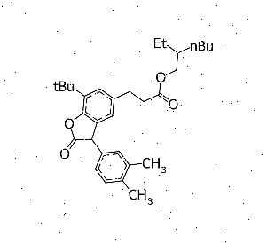 CCCCC(CC)COC(=O)CCc1cc2c(c(C(C)(C)C)c1)OC(=O)C2c1ccc(C)c(C)c1